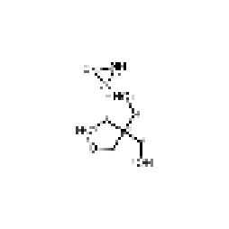 OCC(CO)(CO)CO.[nH]1[nH][nH]1